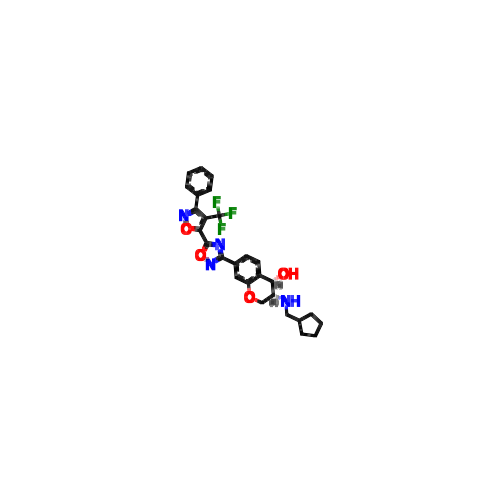 O[C@H]1c2ccc(-c3noc(-c4onc(-c5ccccc5)c4C(F)(F)F)n3)cc2OC[C@H]1NCC1CCCC1